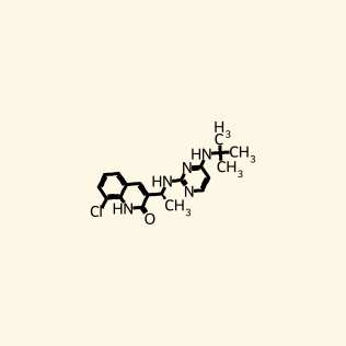 C[C@H](Nc1nccc(NC(C)(C)C)n1)c1cc2cccc(Cl)c2[nH]c1=O